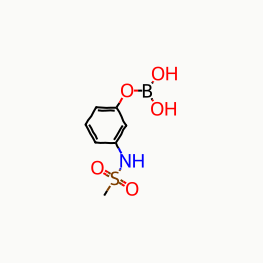 CS(=O)(=O)Nc1cccc(OB(O)O)c1